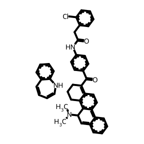 C1=CNc2ccccc2C=C1.CN(C)C1C=c2ccccc2=c2ccc3c(c21)CCCC=3C(=O)c1ccc(NC(=O)Cc2ccccc2Cl)cc1